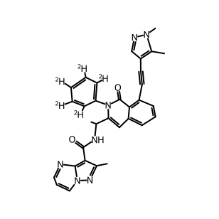 [2H]c1c([2H])c([2H])c(-n2c(C(C)NC(=O)c3c(C)nn4cccnc34)cc3cccc(C#Cc4cnn(C)c4C)c3c2=O)c([2H])c1[2H]